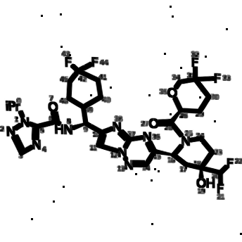 CC(C)n1ncnc1C(=O)N[C@H](c1cn2ncc([C@@H]3C[C@@](O)(C(F)F)CCN3C(=O)[C@@H]3CCC(F)(F)CO3)nc2n1)C1CCC(F)(F)CC1